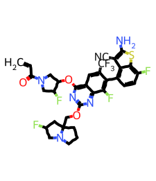 C=CC(=O)N1CC(F)C(Oc2nc(OCC34CCCN3CC(F)C4)nc3c(F)c(-c4ccc(F)c5sc(N)c(C#N)c45)c(C(F)(F)F)cc23)C1